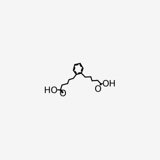 O=C(O)CCCCc1ccccc1CCCCC(=O)O